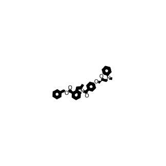 Cc1cc2c(C(=O)OCc3ccccc3)cccc2n1C(=O)c1ccc(OC[C@@H]2CN(C)c3ccccc3O2)cc1